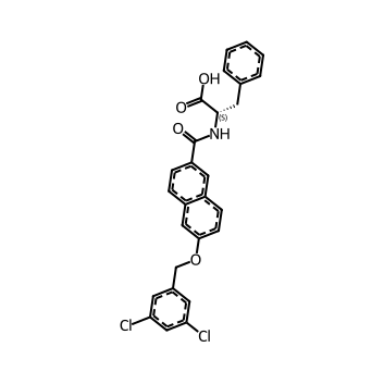 O=C(N[C@@H](Cc1ccccc1)C(=O)O)c1ccc2cc(OCc3cc(Cl)cc(Cl)c3)ccc2c1